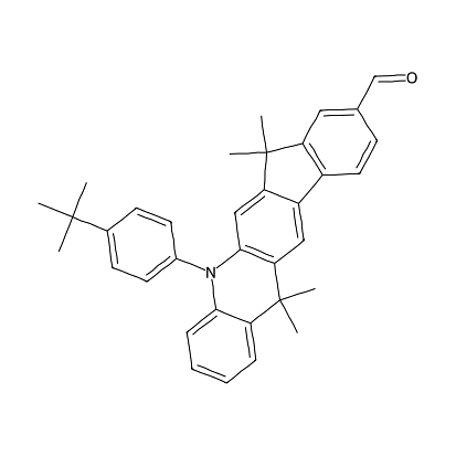 CC(C)(C)c1ccc(N2c3ccccc3C(C)(C)c3cc4c(cc32)C(C)(C)c2cc(C=O)ccc2-4)cc1